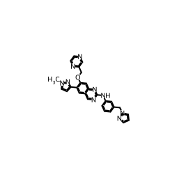 Cn1ccc(-c2cc3cnc(Nc4cccc(Cn5cccn5)c4)nc3cc2OCc2cnccn2)n1